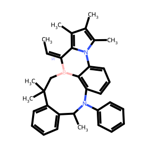 C/C=C1/B2CC(C)(C)c3ccccc3C(C)N(c3ccccc3)c3cccc(c32)-n2c(C)c(C)c(C)c21